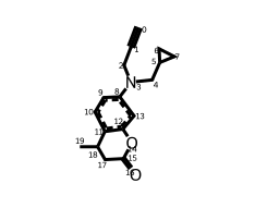 C#CCN(CC1CC1)c1ccc2c(c1)OC(=O)CC2C